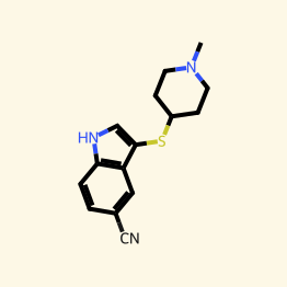 CN1CCC(Sc2c[nH]c3ccc(C#N)cc23)CC1